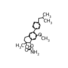 COc1cc2c(cc1-c1ccc(CC(C)C)cc1)CCC(C)(C)C2OC(N)=O